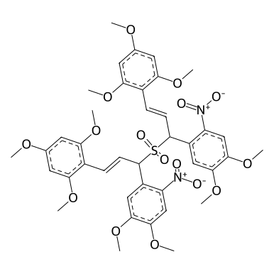 COc1cc(OC)c(C=CC(c2cc(OC)c(OC)cc2[N+](=O)[O-])S(=O)(=O)C(C=Cc2c(OC)cc(OC)cc2OC)c2cc(OC)c(OC)cc2[N+](=O)[O-])c(OC)c1